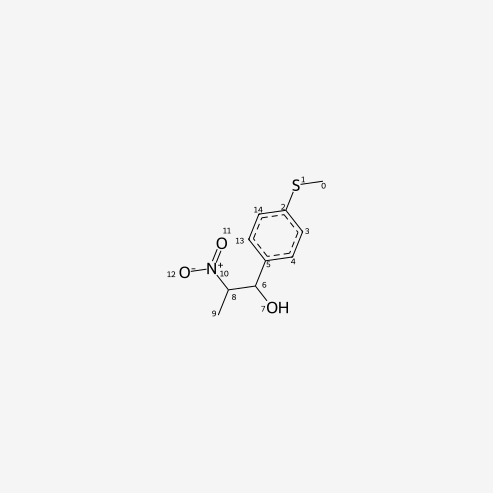 CSc1ccc(C(O)C(C)[N+](=O)[O-])cc1